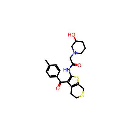 Cc1ccc(C(=O)c2c(NC(=O)CN3CCCC(O)C3)sc3c2CCSC3)cc1